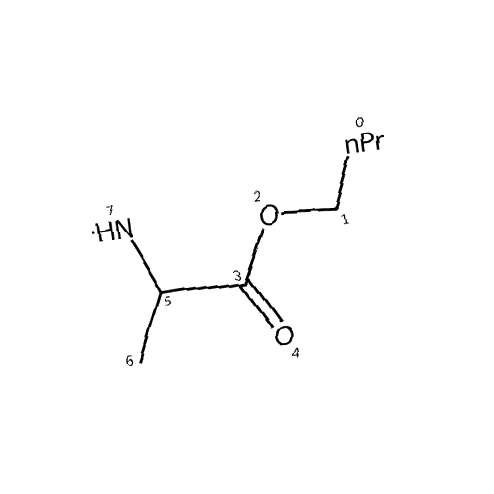 CCCCOC(=O)C(C)[NH]